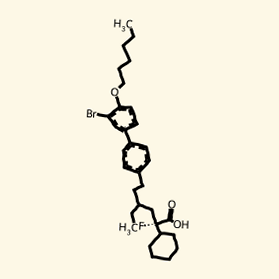 CCCCCCOc1ccc(-c2ccc(CCC(CC)C[C@@](F)(C(=O)O)C3CCCCC3)cc2)cc1Br